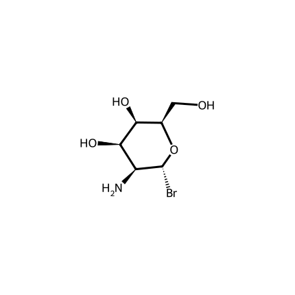 N[C@H]1[C@@H](O)[C@@H](O)[C@@H](CO)O[C@@H]1Br